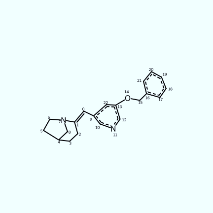 C(=C1CCC2CCN1C2)c1cncc(OCc2ccccc2)c1